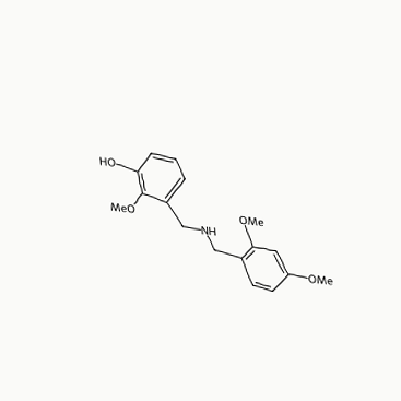 COc1ccc(CNCc2cccc(O)c2OC)c(OC)c1